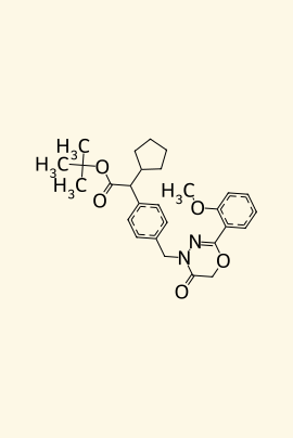 COc1ccccc1C1=NN(Cc2ccc(C(C(=O)OC(C)(C)C)C3CCCC3)cc2)C(=O)CO1